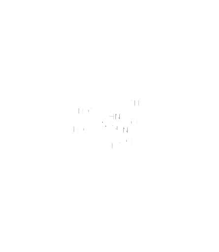 CCN[Si](CC)(N(C)C)N(CC)CC